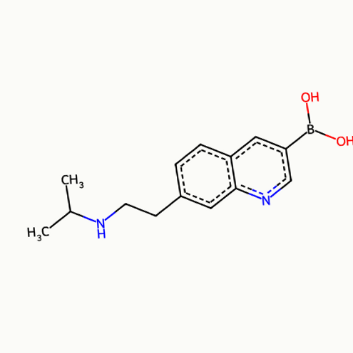 CC(C)NCCc1ccc2cc(B(O)O)cnc2c1